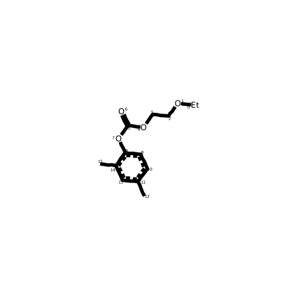 CCOCCOC(=O)Oc1ccc(C)cc1C